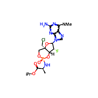 CNc1nc(N)nc2c1ncn2[C@@H]1O[C@]2(CCl)COP(=O)(N[C@@H](C)C(=O)OC(C)C)O[C@H]2[C@H]1F